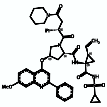 C=C[C@H]1C[C@]1(NC(=O)[C@@H]1C[C@@H](Oc2cc(-c3ccccc3)nc3cc(OC)ccc23)CN1C(=O)[C@@H](CC(=O)N1CCCCC1)C(C)C)C(=O)NS(=O)(=O)C1CC1